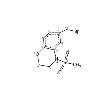 CS(=O)(=O)N1CCOc2ccc(CBr)cc21